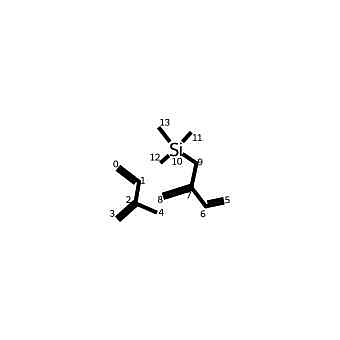 C=CC(=C)C.C=CC(=C)C[Si](C)(C)C